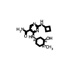 C[C@@H]1CC[C@@H](Nc2nc(NC3CCC3)ncc2C(N)=O)C[C@H]1O